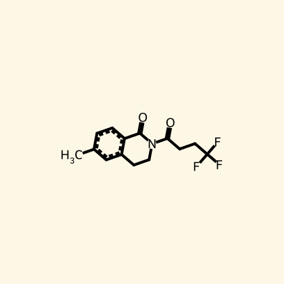 Cc1ccc2c(c1)CCN(C(=O)CCC(F)(F)F)C2=O